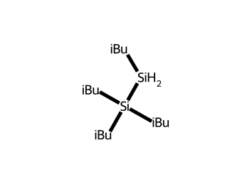 CCC(C)[SiH2][Si](C(C)CC)(C(C)CC)C(C)CC